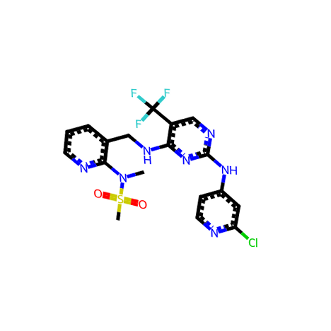 CN(c1ncccc1CNc1nc(Nc2ccnc(Cl)c2)ncc1C(F)(F)F)S(C)(=O)=O